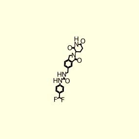 O=C1CCC(N2Cc3ccc(CNC(=O)Nc4ccc(C(F)F)cc4)cc3C2=O)C(=O)N1